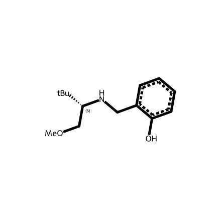 COC[C@@H](NCc1ccccc1O)C(C)(C)C